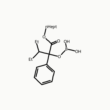 CCCCCCCOC(=O)C(OB(O)O)(c1ccccc1)C(CC)CC